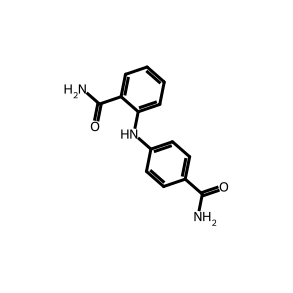 NC(=O)c1ccc(Nc2ccccc2C(N)=O)cc1